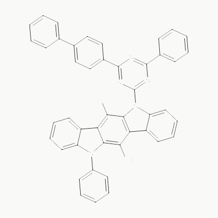 Cc1c2c3ccccc3n(-c3nc(-c4ccccc4)nc(-c4ccc(-c5ccccc5)cc4)n3)c2c(C)c2c3ccccc3n(-c3ccccc3)c12